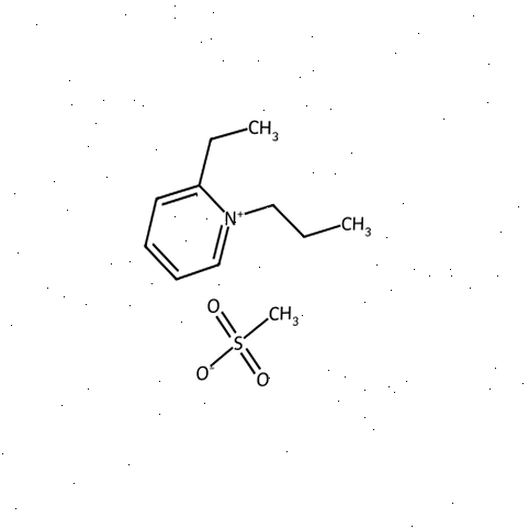 CCC[n+]1ccccc1CC.CS(=O)(=O)[O-]